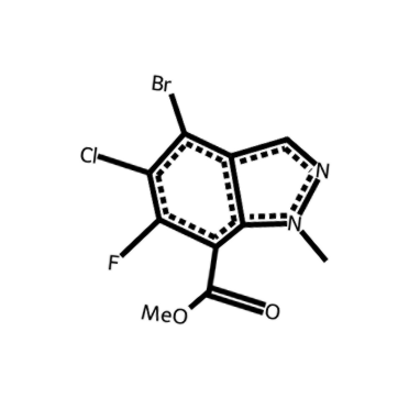 COC(=O)c1c(F)c(Cl)c(Br)c2cnn(C)c12